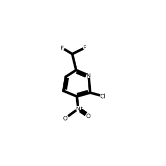 O=[N+]([O-])c1ccc(C(F)F)nc1Cl